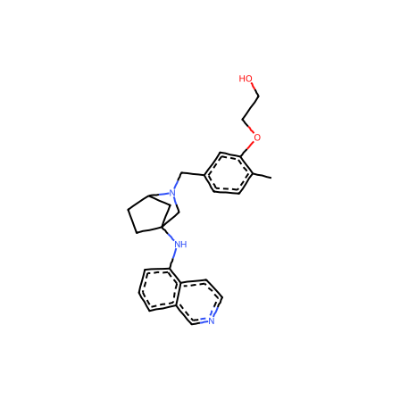 Cc1ccc(CN2CC3(Nc4cccc5cnccc45)CCC2C3)cc1OCCO